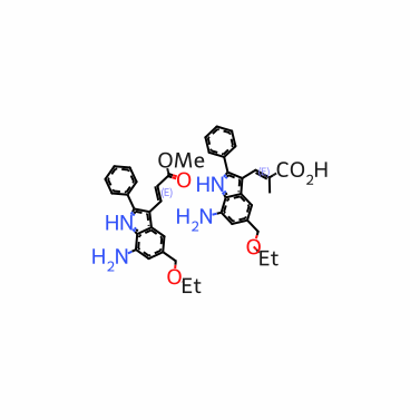 CCOCc1cc(N)c2[nH]c(-c3ccccc3)c(/C=C(\C)C(=O)O)c2c1.CCOCc1cc(N)c2[nH]c(-c3ccccc3)c(/C=C/C(=O)OC)c2c1